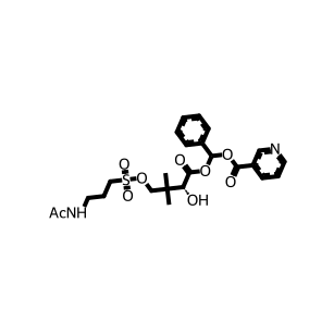 CC(=O)NCCCS(=O)(=O)OCC(C)(C)[C@@H](O)C(=O)OC(OC(=O)c1cccnc1)c1ccccc1